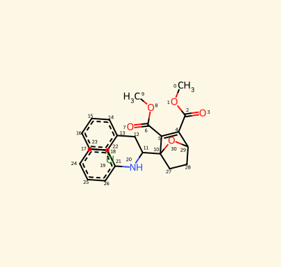 COC(=O)C1=C(C(=O)OC)C2(C(Cc3ccccc3Cl)Nc3ccccc3)CCC1O2